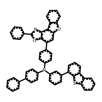 c1ccc(-c2ccc(N(c3ccc(-c4cc5oc6ccccc6c5c5nc(-c6ccccc6)oc45)cc3)c3cccc(-c4cccc5c4sc4ccccc45)c3)cc2)cc1